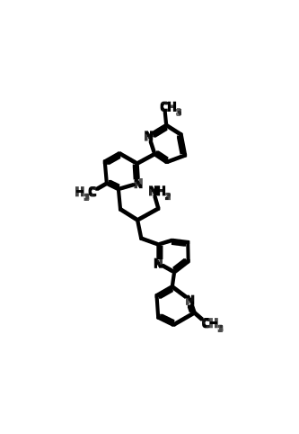 Cc1cccc(-c2cccc(CC(CN)Cc3nc(-c4cccc(C)n4)ccc3C)n2)n1